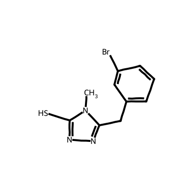 Cn1c(S)nnc1Cc1cccc(Br)c1